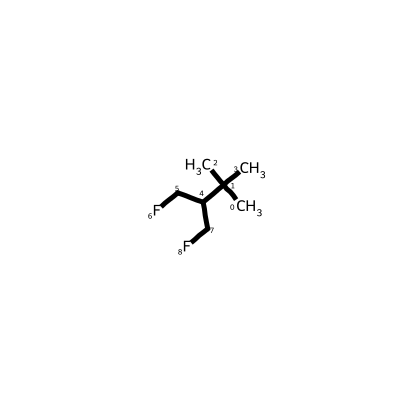 CC(C)(C)C(CF)CF